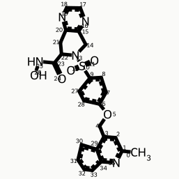 Cc1cc(COc2ccc(S(=O)(=O)N3Cc4nccnc4CC3C(=O)NO)cc2)c2ccccc2n1